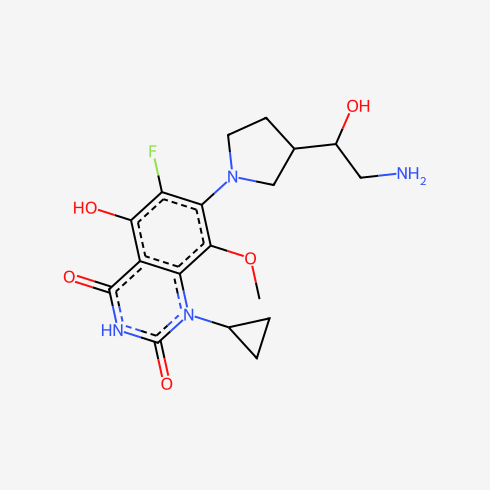 COc1c(N2CCC(C(O)CN)C2)c(F)c(O)c2c(=O)[nH]c(=O)n(C3CC3)c12